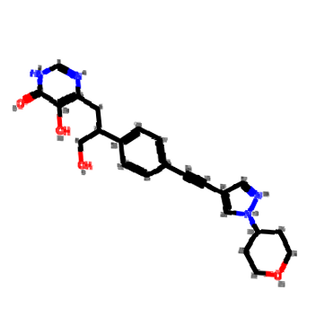 O=c1[nH]cnc(CC(CO)c2ccc(C#Cc3cnn(C4CCOCC4)c3)cc2)c1O